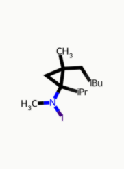 CCC(C)CC1(C)CC1(C(C)C)N(C)I